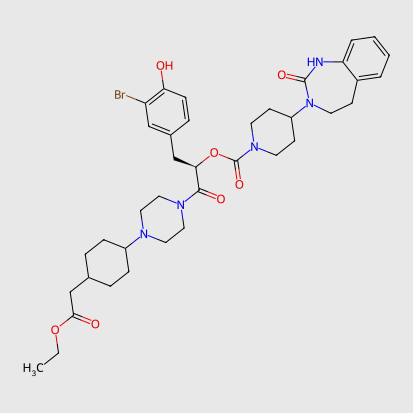 CCOC(=O)CC1CCC(N2CCN(C(=O)[C@@H](Cc3ccc(O)c(Br)c3)OC(=O)N3CCC(N4CCc5ccccc5NC4=O)CC3)CC2)CC1